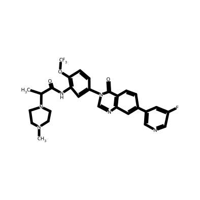 CC(C(=O)Nc1cc(-n2cnc3cc(-c4cncc(F)c4)ccc3c2=O)ccc1OC(F)(F)F)N1CCN(C)CC1